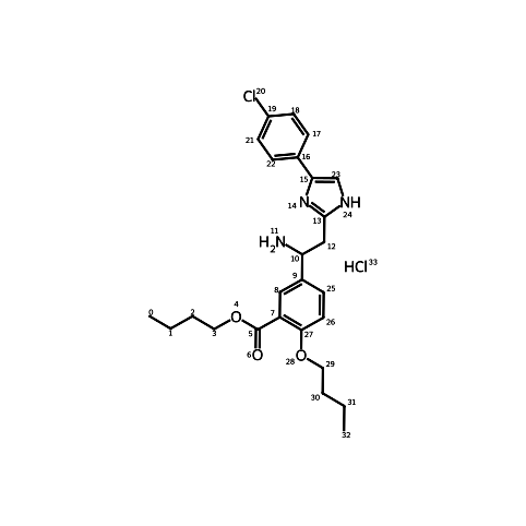 CCCCOC(=O)c1cc(C(N)Cc2nc(-c3ccc(Cl)cc3)c[nH]2)ccc1OCCCC.Cl